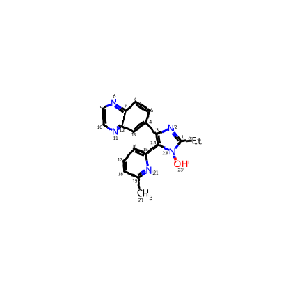 CCc1nc(-c2ccc3nccnc3c2)c(-c2cccc(C)n2)n1O